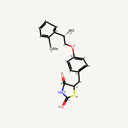 COc1ccccc1[C@@H](COc1ccc(CC2SC(=O)NC2=O)cc1)N=O